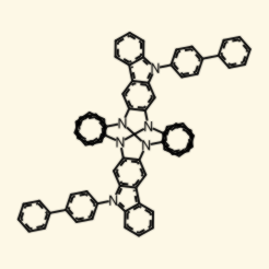 c1ccc(-c2ccc(-n3c4ccccc4c4cc5c(cc43)N(c3ccccc3)C3(N5c4ccccc4)N(c4ccccc4)c4cc5c6ccccc6n(-c6ccc(-c7ccccc7)cc6)c5cc4N3c3ccccc3)cc2)cc1